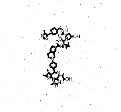 Cc1ncsc1-c1ccc([C@H](C)NC(=O)[C@@H]2C[C@@H](O)CN2C(=O)[C@@H](NC(=O)c2ccc3c(c2)CN(c2ccc(C4=N[C@@H](C(C)C(=O)O)c5nnc(C)n5-c5sc(C)c(C)c54)cc2)CC3)C(C)(C)C)cc1